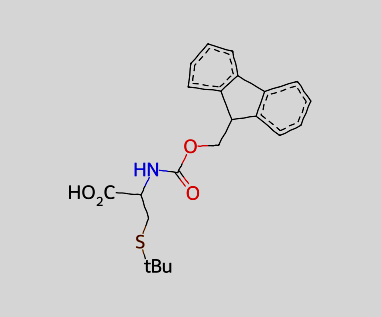 CC(C)(C)SCC(NC(=O)OCC1c2ccccc2-c2ccccc21)C(=O)O